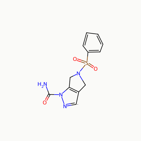 NC(=O)n1n[c]c2c1CN(S(=O)(=O)c1ccccc1)C2